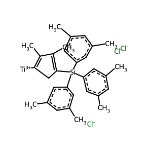 CC1=[C]([Ti+3])CC([Si](c2cc(C)cc(C)c2)(c2cc(C)cc(C)c2)c2cc(C)cc(C)c2)=C1C.[Cl-].[Cl-].[Cl-]